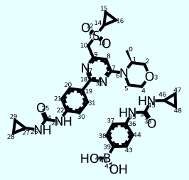 C[C@H]1COCCN1c1cc(CS(=O)(=O)C2CC2)nc(-c2ccc(NC(=O)NC3CC3)cc2)n1.O=C(Nc1ccc(B(O)O)cc1)NC1CC1